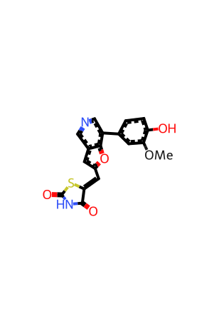 COc1cc(-c2cncc3cc(/C=C4\SC(=O)NC4=O)oc23)ccc1O